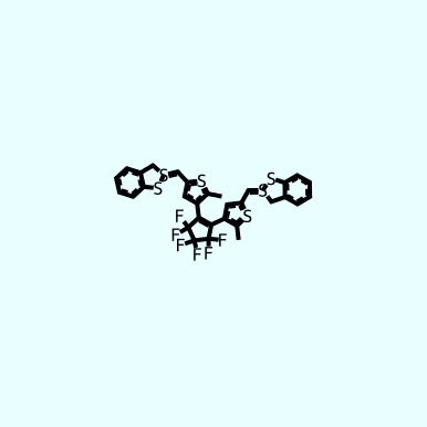 Cc1sc(C=S2Cc3ccccc3S2)cc1C1=C(c2cc(C=S3Cc4ccccc4S3)sc2C)C(F)(F)C(F)(F)C1(F)F